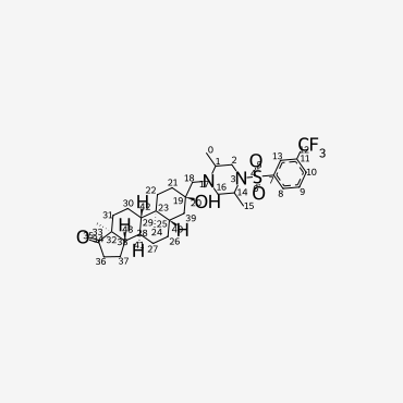 CC1CN(S(=O)(=O)c2cccc(C(F)(F)F)c2)C(C)CN1C[C@@]1(O)CC[C@@]2(C)[C@@H](CC[C@@H]3[C@@H]2CC[C@]2(C)C(=O)CC[C@@H]32)C1